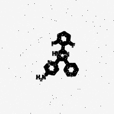 Nc1[c]nc(-c2[nH]c(-c3c(F)cccc3F)nc2-c2ccccc2)cc1